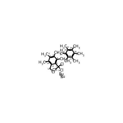 Cc1c(C)c(C)c(C(Cl)(Cl)Cl)c(CCl)c1C.Cc1c(C)c(C)c(C)c(C)c1C.[Ru].[Ru]